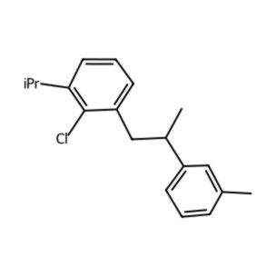 Cc1cccc(C(C)Cc2cccc(C(C)C)c2Cl)c1